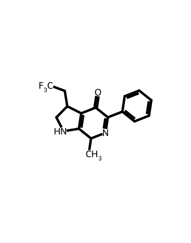 CC1N=C(c2ccccc2)C(=O)C2=C1NCC2CC(F)(F)F